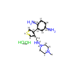 CN1CCN(NCc2cscc2-c2cc(N)ccc2N)CC1.Cl.Cl